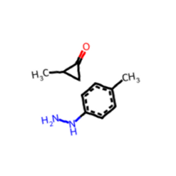 CC1CC1=O.Cc1ccc(NN)cc1